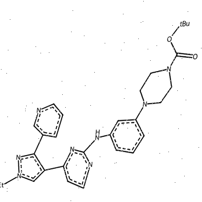 CCn1cc(-c2ccnc(Nc3cccc(N4CCN(C(=O)OC(C)(C)C)CC4)c3)n2)c(-c2cccnc2)n1